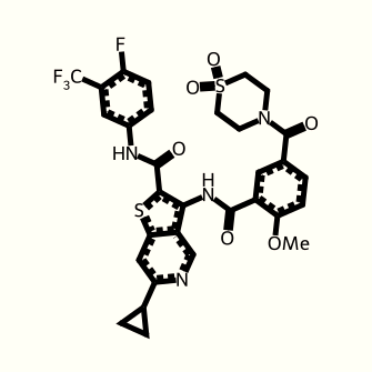 COc1ccc(C(=O)N2CCS(=O)(=O)CC2)cc1C(=O)Nc1c(C(=O)Nc2ccc(F)c(C(F)(F)F)c2)sc2cc(C3CC3)ncc12